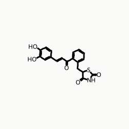 O=C1NC(=O)C(Cc2ccccc2C(=O)C=Cc2ccc(O)c(O)c2)S1